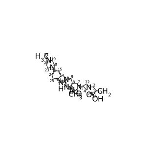 C=C(CN1CC(N2Cc3cnc(Nc4ccc(N5CCN(C)CC5)cc4)nc3N(C)C2=O)C1)C(=O)O